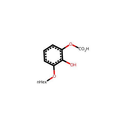 CCCCCCOc1cccc(OC(=O)O)c1O